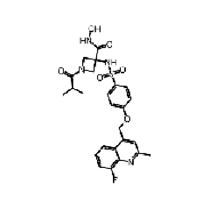 Cc1cc(COc2ccc(S(=O)(=O)NC3(C(=O)NO)CN(C(=O)C(C)C)C3)cc2)c2cccc(F)c2n1